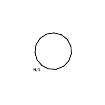 C1CCCCCCCCCCCCCC1.O